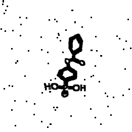 O=C(Oc1ccc(P(=O)(O)O)cc1)c1ccccc1